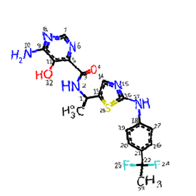 CC(NC(=O)c1ncnc(N)c1O)c1cnc(Nc2ccc(C(C)(F)F)cc2)s1